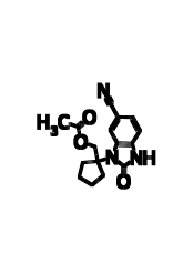 CC(=O)OCC1(n2c(=O)[nH]c3ccc(C#N)cc32)CCCC1